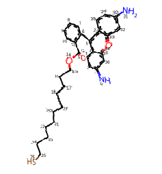 N=c1ccc2c(-c3ccccc3C(=O)OCCCCCCCCCCCS)c3ccc(N)cc3oc-2c1